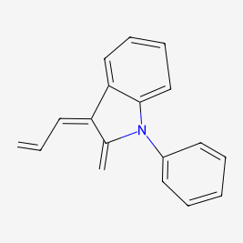 C=C/C=c1\c(=C)n(-c2ccccc2)c2ccccc12